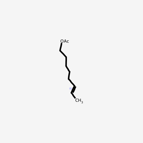 C/C=C/CCCCCOC(C)=O